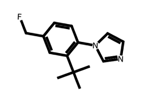 CC(C)(C)c1cc(CF)ccc1-n1ccnc1